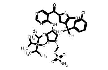 Cc1sc(C(=O)c2cncnc2N[C@@H]2C[C@H](COS(N)(=O)=O)[C@@H](O[Si](C(C)C)(C(C)C)C(C)C)C2)cc1[C@@](C)(O)c1cccc(Cl)c1